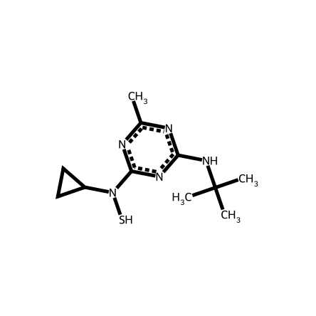 Cc1nc(NC(C)(C)C)nc(N(S)C2CC2)n1